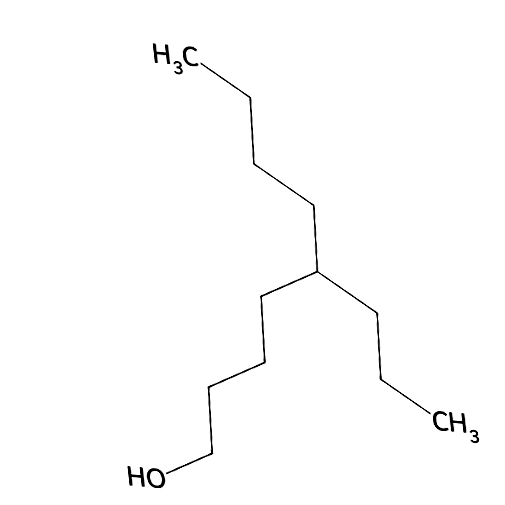 CCCCC(CCC)CCCCO